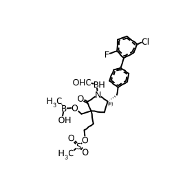 CB(O)OCC1(CCOS(C)(=O)=O)C[C@@H](Cc2ccc(-c3cc(Cl)ccc3F)cc2)N(BC=O)C1=O